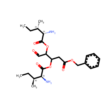 CC[C@H](C)[C@H](N)C(=O)OC(C=O)C(CC(=O)OCc1ccccc1)OC(=O)[C@@H](N)[C@@H](C)CC